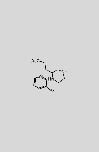 Brc1cccnc1.CC(=O)OCCC1CNCCN1